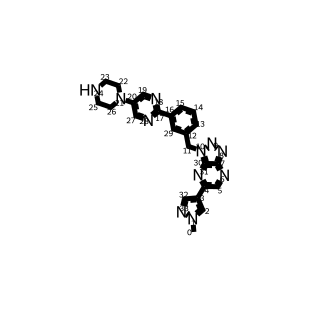 Cn1cc(-c2cnc3nnn(Cc4cccc(-c5ncc(N6CCNCC6)cn5)c4)c3n2)cn1